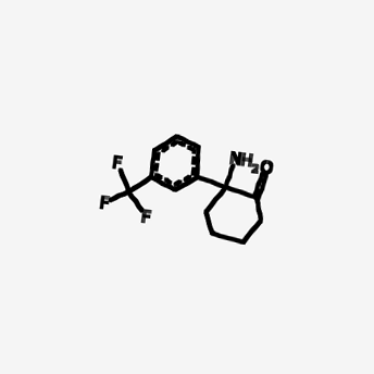 NC1(c2cccc(C(F)(F)F)c2)CCCCC1=O